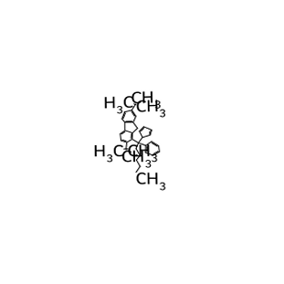 CCCCCCC(c1ccccc1)(c1c(C(C)(C)C)ccc2c1Cc1cc(C(C)(C)C)ccc1-2)C1C=CC=C1